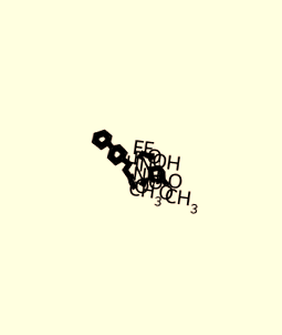 CCC(CCc1ccc(-c2ccccc2)cc1)NC(=O)[C@@H]1OC(C(=O)OC)=C[C@@H](O)[C@H]1NC(=O)C(F)(F)F